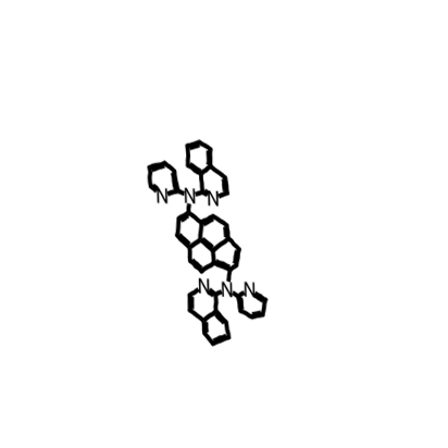 c1ccc(N(c2nccc3ccccc23)c2ccc3ccc4c(N(c5ccccn5)c5nccc6ccccc56)ccc5ccc2c3c54)nc1